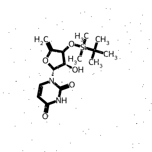 C=C1O[C@@H](n2ccc(=O)[nH]c2=O)[C@H](O)C1O[Si](C)(C)C(C)(C)C